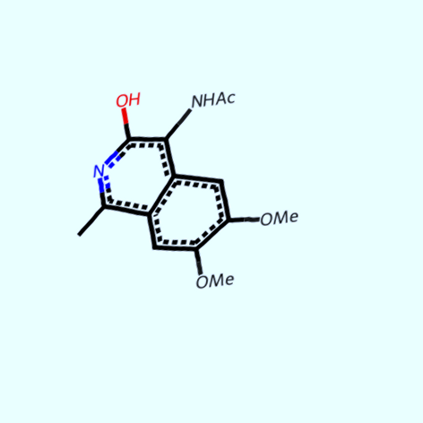 COc1cc2c(C)nc(O)c(NC(C)=O)c2cc1OC